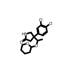 CC(OC1CCCCO1)C1(c2ccc(Cl)c(Cl)c2)CNC(=O)C1